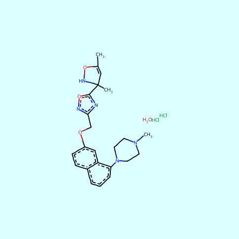 CC1=CC(C)(c2nc(COc3ccc4cccc(N5CCN(C)CC5)c4c3)no2)NO1.Cl.Cl.O